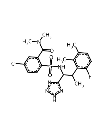 Cc1ccc(F)c(C(C)C(NS(=O)(=O)c2ccc(Cl)cc2C(=O)N(C)C)c2nn[nH]n2)c1C